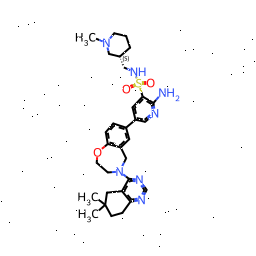 CN1CCC[C@H](CNS(=O)(=O)c2cc(-c3ccc4c(c3)CN(c3ncnc5c3CC(C)(C)CC5)CCO4)cnc2N)C1